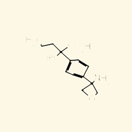 C=CCC(C(=O)O)(c1ccc(C2(N)COC2)cc1)C(C)C